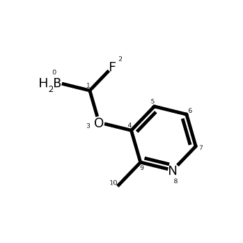 BC(F)Oc1cccnc1C